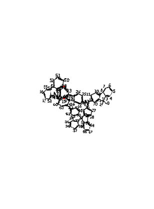 CC1(C)c2ccccc2-c2ccc(N(c3ccc(-c4ccccc4)cc3)c3ccc4c(c3)C(c3ccccc3)(c3ccc(-c5ccc(-n6c7ccccc7c7ccccc76)cc5)cc3)c3ccccc3-4)cc21